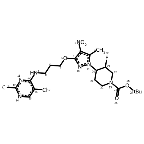 Cc1c([N+](=O)[O-])c(OCCCNc2nc(Cl)ncc2Cl)nn1C1CCN(C(=O)OC(C)(C)C)CC1F